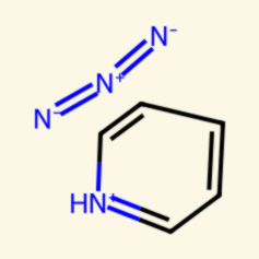 [N-]=[N+]=[N-].c1cc[nH+]cc1